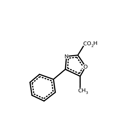 Cc1oc(C(=O)O)nc1-c1ccccc1